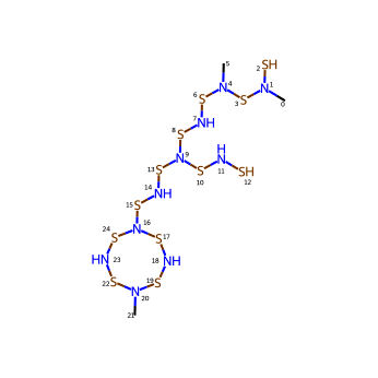 CN(S)SN(C)SNSN(SNS)SNSN1SNSN(C)SNS1